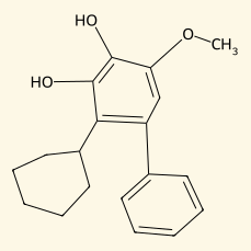 COc1cc(-c2ccccc2)c(C2CCCCC2)c(O)c1O